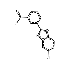 O=C(Cl)c1cccc(-c2nc3cc(Cl)ccc3o2)c1